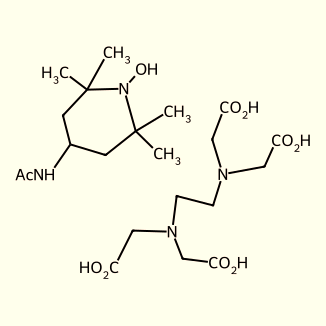 CC(=O)NC1CC(C)(C)N(O)C(C)(C)C1.O=C(O)CN(CCN(CC(=O)O)CC(=O)O)CC(=O)O